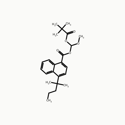 CCCC(C)(C)c1ccc(C(=O)OC(OC)OC(=O)C(C)(C)C)c2ccccc12